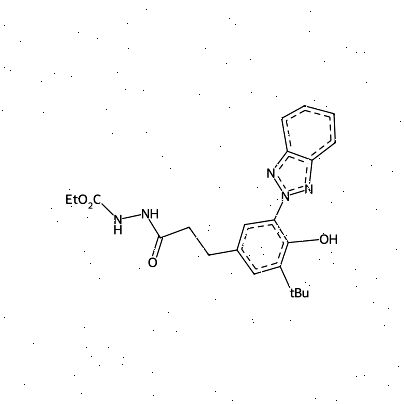 CCOC(=O)NNC(=O)CCc1cc(-n2nc3ccccc3n2)c(O)c(C(C)(C)C)c1